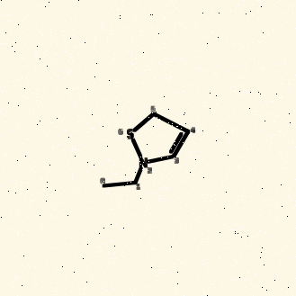 CCN1C=CCS1